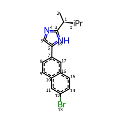 CC(C)[C@H](C)c1ncc(-c2ccc3cc(Br)ccc3c2)[nH]1